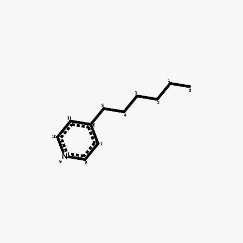 CCCCCCc1ccncc1